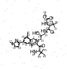 CNC(C(=O)NN(Cc1c(F)cc(-c2ccn(C)n2)cc1F)CC(O)CNC(=O)C(NC(=O)OC)C(C)(C)C)C(C)(C)C